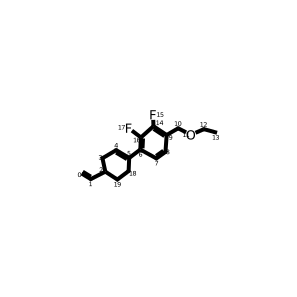 C=CC1CC=C(c2ccc(COCC)c(F)c2F)CC1